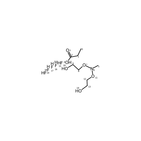 CCC(=O)O.CN(OCCO)OCCO.F.F.F.F.F